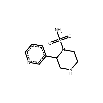 NS(=O)(=O)N1CCNCC1c1cccnc1